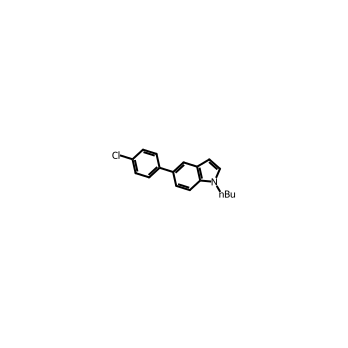 CCCCn1ccc2cc(-c3ccc(Cl)cc3)ccc21